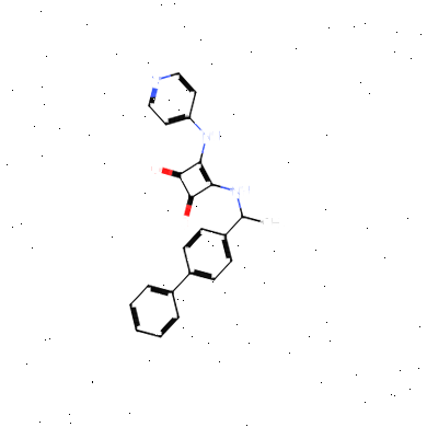 CC(Nc1c(Nc2ccncc2)c(=O)c1=O)c1ccc(-c2ccccc2)cc1